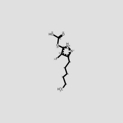 CCCCCCc1n[nH]c(OC(=O)O)c1F